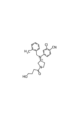 Cc1ccccc1CN(c1ccc(C#N)c(Cl)c1)[C@H]1CCN(C(=O)CCCO)C1